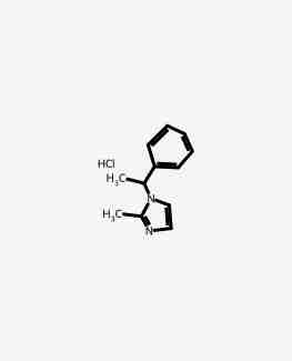 Cc1nccn1C(C)c1ccccc1.Cl